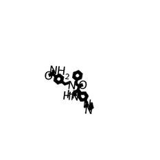 NC(=O)c1ccc(CCNC(C(=O)c2c[nH]c3cc(-n4ccnc4)ccc23)c2ccccc2)cc1